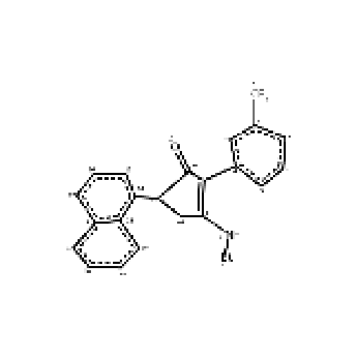 CCNC1=C(c2cccc(C(F)(F)F)c2)C(=O)C(c2cccc3ccccc23)C1